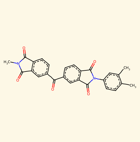 Cc1ccc(N2C(=O)c3ccc(C(=O)c4ccc5c(c4)C(=O)N(C)C5=O)cc3C2=O)cc1C